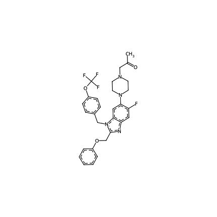 CC(=O)CN1CCN(c2cc3c(cc2F)nc(COc2ccccc2)n3Cc2ccc(OC(F)(F)F)cc2)CC1